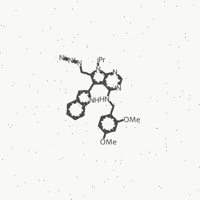 COc1ccc(CNc2ncnc3c2c(-c2cc4ccccc4[nH]2)c(CN=[N+]=[N-])n3C(C)C)c(OC)c1